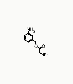 CC(C)CC(=O)OCc1cccc(N)c1